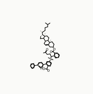 CC(=O)CCC(c1ccccc1C(=O)OC1CC[C@@]2(C)C(=CCC3C2CC[C@@]2(C)C3CC[C@@H]2[C@H](C)CCCC(C)C)C1)[Si](C)(C)c1ccc(C(=O)O)c(-c2ccc(-c3ccccc3)cc2)c1